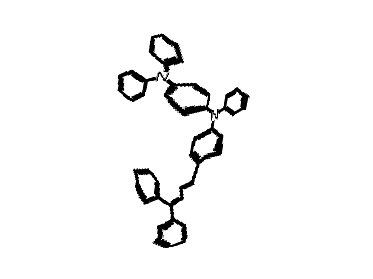 C(=Cc1ccc(N(c2ccccc2)c2ccc(N(c3ccccc3)c3ccccc3)cc2)cc1)C=C(c1ccccc1)c1ccccc1